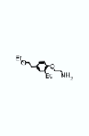 CCOCCc1ccc(OCCN)c(CC)c1